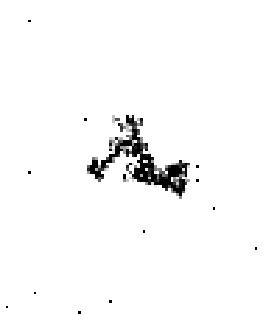 Cc1cccc(-c2nc(CN(Cc3ccc(Cl)c(Cl)c3)C(=O)OCc3ccc(NC(=O)[C@H](CCCNC(N)=O)NC(=O)C(NC(=O)CCCCCN4C(=O)C=CC4=O)C(C)C)cc3)[nH]c2-c2ccc3ncnn3c2)n1